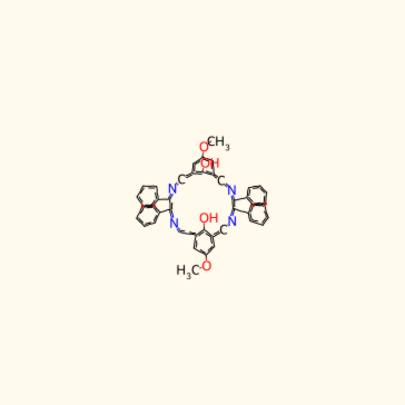 COc1cc2cnc(-c3ccccc3)c(-c3ccccc3)ncc3cc(OC)cc(cnc(-c4ccccc4)c(-c4ccccc4)ncc(c1)c2O)c3O